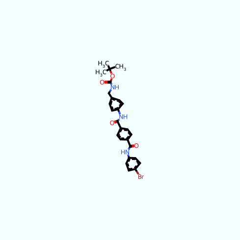 CC(C)(C)OC(=O)NCc1ccc(NC(=O)c2ccc(C(=O)Nc3ccc(Br)cc3)cc2)cc1